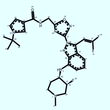 CN1CC[C@@H](Nc2cccc3c(C=C(F)F)n(-c4noc(CNC(=O)c5ccn(C(C)(C)C)c5)n4)nc23)[C@@H](F)C1